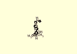 CN/C=C1/C=C(c2ccc3nc(N4CCC(NC5CCC5)C4)ccc3n2)C(O)=C(C)C1=N